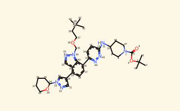 CC(C)(C)OC(=O)N1CCC(Nc2ccc(-c3ccc(-c4cnn(C5CCCCO5)c4)c4cnn(COCC[Si](C)(C)C)c34)nn2)CC1